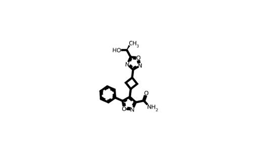 C[C@H](O)c1nc(C2CC(c3c(C(N)=O)noc3-c3ccccc3)C2)no1